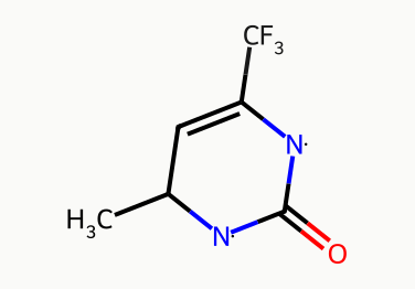 CC1C=C(C(F)(F)F)[N]C(=O)[N]1